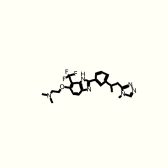 CC(Cc1nncn1C)c1cccc(-c2nc3ccc(OCCN(C)C)c(C(F)(F)F)c3[nH]2)c1